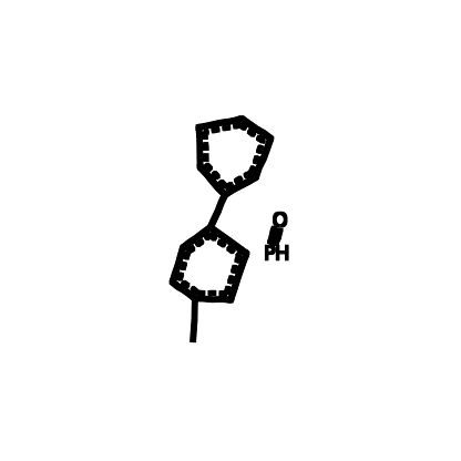 Cc1ccc(-c2ccccc2)cc1.O=P